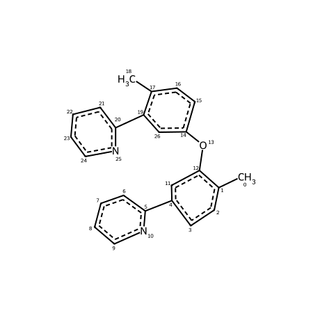 Cc1ccc(-c2ccccn2)cc1Oc1ccc(C)c(-c2ccccn2)c1